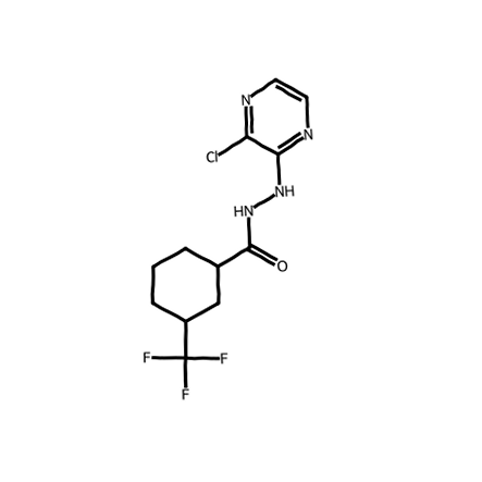 O=C(NNc1nccnc1Cl)C1CCCC(C(F)(F)F)C1